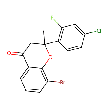 CC1(c2ccc(Cl)cc2F)CC(=O)c2cccc(Br)c2O1